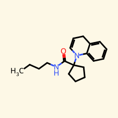 CCCCNC(=O)C1(N2C=CCc3ccccc32)CCCC1